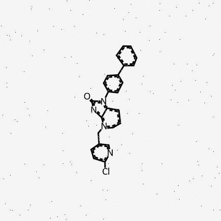 O=c1nc2n(Cc3ccc(Cl)nc3)cccc-2n1-c1ccc(-c2ccccc2)cc1